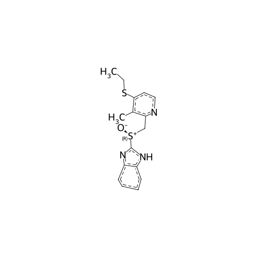 CCSc1ccnc(C[S@+]([O-])c2nc3ccccc3[nH]2)c1C